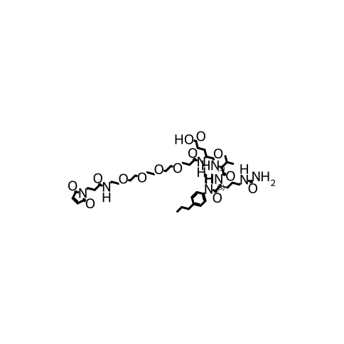 CCCc1ccc(NC(=O)[C@H](CCCNC(N)=O)NC(=O)[C@@H](NC(=O)C(CCC(=O)O)NC(=O)CCOCCOCCOCCOCCNC(=O)CCN2C(=O)C=CC2=O)C(C)C)cc1